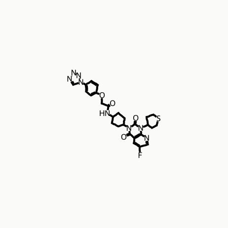 O=C(COc1ccc(-n2cnnn2)cc1)NC1CCC(n2c(=O)c3cc(F)cnc3n(C3CCSCC3)c2=O)CC1